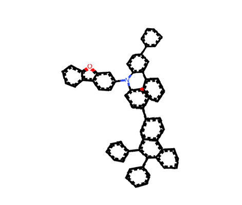 c1ccc(-c2ccc(N(c3ccc(-c4ccc5c(c4)c(-c4ccccc4)c(-c4ccccc4)c4ccccc45)cc3)c3ccc4c(c3)oc3ccccc34)c(-c3ccccc3)c2)cc1